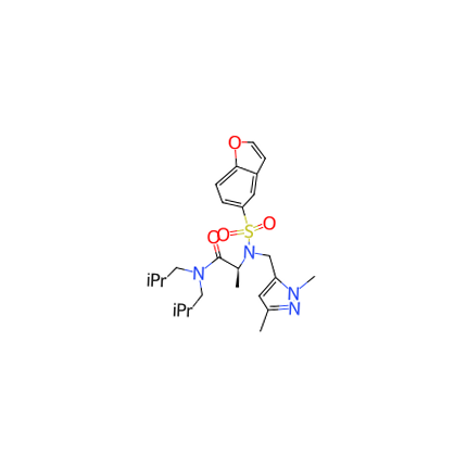 Cc1cc(CN([C@@H](C)C(=O)N(CC(C)C)CC(C)C)S(=O)(=O)c2ccc3occc3c2)n(C)n1